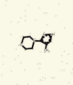 Cc1c[nH]nc1N1CCOCC1